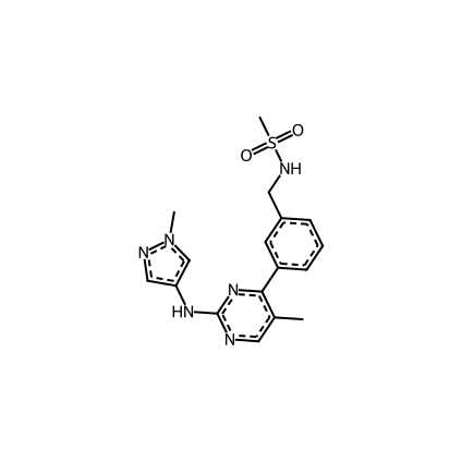 Cc1cnc(Nc2cnn(C)c2)nc1-c1cccc(CNS(C)(=O)=O)c1